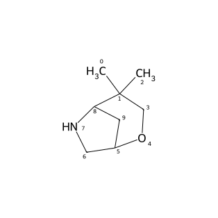 CC1(C)COC2CNC1C2